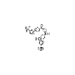 O=C(C1CCN(c2cc(C(F)(F)F)ccn2)CC1)N1CC[C@H](NC2CCC(O)(c3ccc(-c4ncco4)cn3)CC2)C1